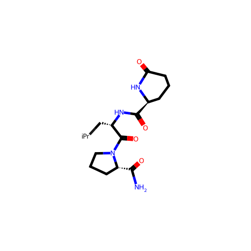 CC(C)C[C@H](NC(=O)[C@@H]1CCCC(=O)N1)C(=O)N1CCC[C@H]1C(N)=O